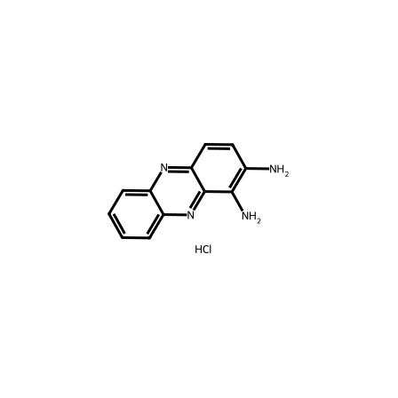 Cl.Nc1ccc2nc3ccccc3nc2c1N